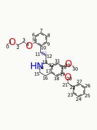 COCCOc1ccccc1/C=C/C1NCCc2cc(OCc3ccccc3)c(OC)cc21